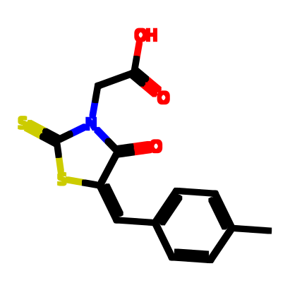 Cc1ccc(C=C2SC(=S)N(CC(=O)O)C2=O)cc1